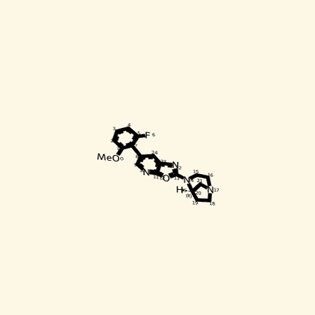 COc1cccc(F)c1-c1cnc2oc(N3CCN4CC[C@@H]3C4)nc2c1